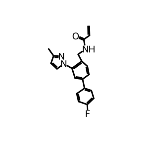 C=CC(=O)NCc1ccc(-c2ccc(F)cc2)cc1-n1ccc(C)n1